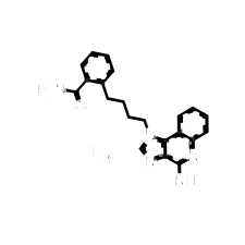 Cl.NC(=O)c1ccccc1CCCCn1cnc2c(N)nc3ccccc3c21.O